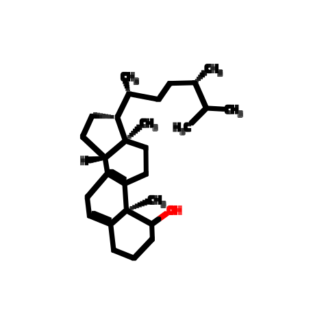 CC(C)[C@@H](C)CC[C@@H](C)[C@H]1CC[C@H]2C3=C(CC[C@]12C)[C@]1(C)C(=CC3)CCCC1O